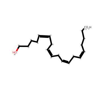 O=C(O)CCC/C=C\C/C=C\C/C=C\C/C=C\CCCCO